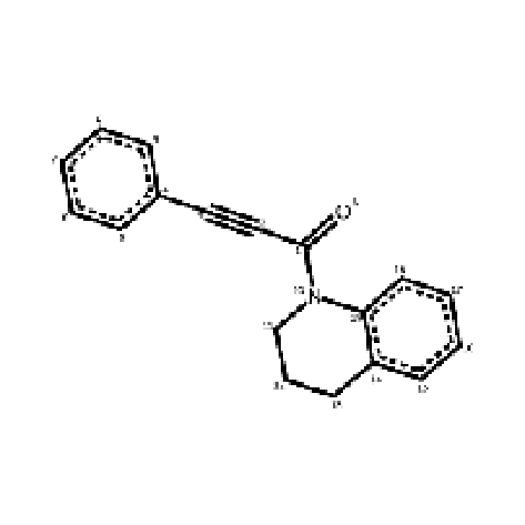 O=C(C#Cc1ccccc1)N1CCCc2ccccc21